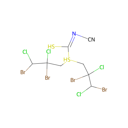 N#CN=C(S)[SH](CC(Cl)(Br)C(Cl)Br)CC(Cl)(Br)C(Cl)Br